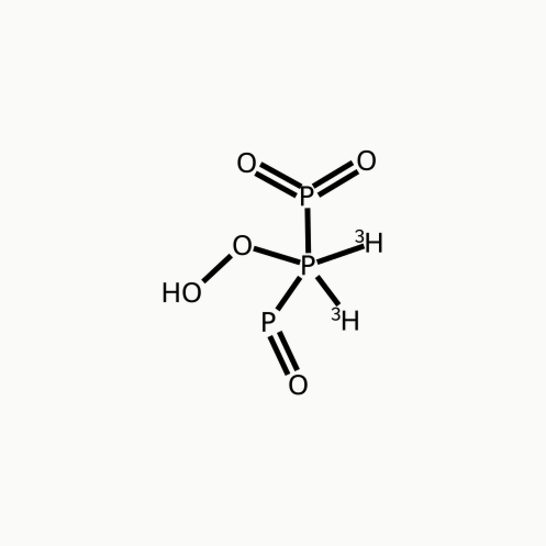 [3H]P([3H])(OO)(P=O)P(=O)=O